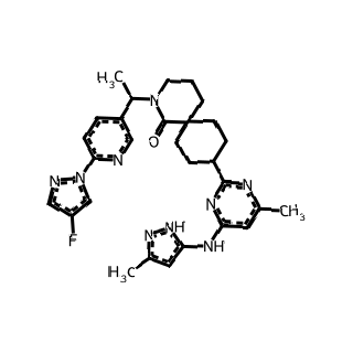 Cc1cc(Nc2cc(C)nc(C3CCC4(CCCN(C(C)c5ccc(-n6cc(F)cn6)nc5)C4=O)CC3)n2)[nH]n1